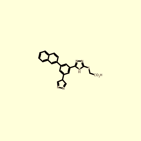 O=C(O)CSc1nnc(-c2cc(-c3ccc4ccccc4c3)cc(C3C=NN=C3)c2)[nH]1